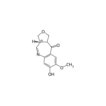 COc1cc2c(cc1O)N=C[C@@H]1COCC1C2=O